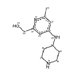 Cc1cc(NC2CCNCC2)cc(CO)n1